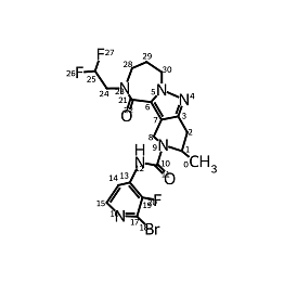 CC1Cc2nn3c(c2CN1C(=O)Nc1ccnc(Br)c1F)C(=O)N(CC(F)F)CCC3